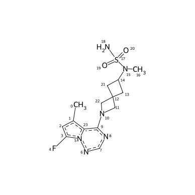 Cc1cc(F)n2ncnc(N3CC4(CC(N(C)S(N)(=O)=O)C4)C3)c12